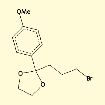 COc1ccc(C2(CCCBr)OCCO2)cc1